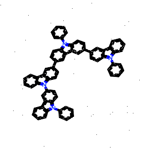 c1ccc(-n2c3ccccc3c3cc(-c4ccc5c(c4)c4cc(-c6ccc7c(c6)c6ccccc6n7-c6ccc7c(c6)c6ccccc6n7-c6ccccc6)ccc4n5-c4ccccc4)ccc32)cc1